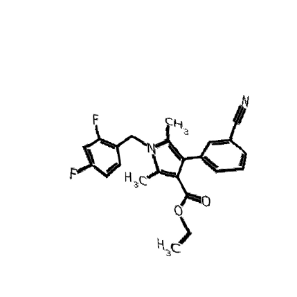 CCOC(=O)c1c(-c2cccc(C#N)c2)c(C)n(Cc2ccc(F)cc2F)c1C